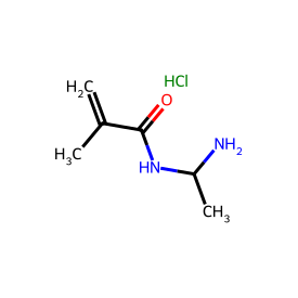 C=C(C)C(=O)NC(C)N.Cl